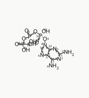 Nc1nc(N)c2ncn(OP(=O)(O)OP(=O)(O)OP(=O)(O)O)c2n1